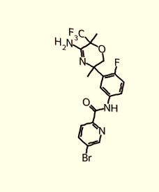 CC1(c2cc(NC(=O)c3ccc(Br)cn3)ccc2F)COC(C)(C(F)(F)F)C(N)=N1